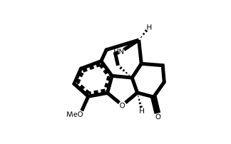 COc1ccc2c3c1O[C@@H]1C(=O)CCC4[C@H](C2)NCC[C@]341